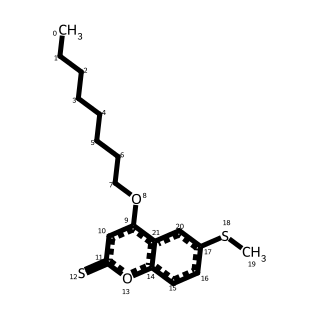 CCCCCCCCOc1cc(=S)oc2ccc(SC)cc12